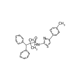 Cc1ccc(-c2csc(NC(=O)C(C)(C)C(c3ccccc3)c3ccccc3)n2)cc1